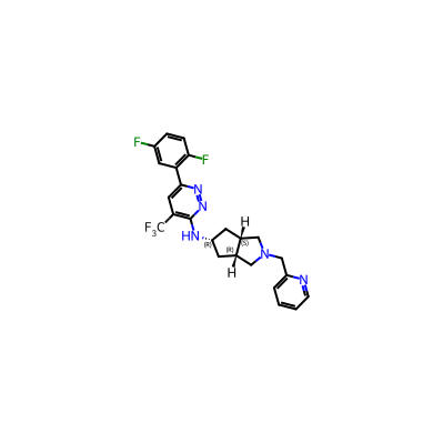 Fc1ccc(F)c(-c2cc(C(F)(F)F)c(N[C@@H]3C[C@@H]4CN(Cc5ccccn5)C[C@@H]4C3)nn2)c1